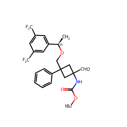 C[C@@H](OCC1(c2ccccc2)CC(C=O)(NC(=O)OC(C)(C)C)C1)c1cc(C(F)(F)F)cc(C(F)(F)F)c1